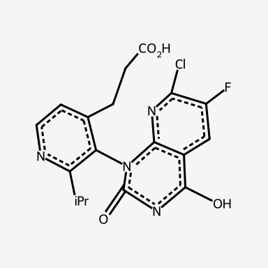 CC(C)c1nccc(CCC(=O)O)c1-n1c(=O)nc(O)c2cc(F)c(Cl)nc21